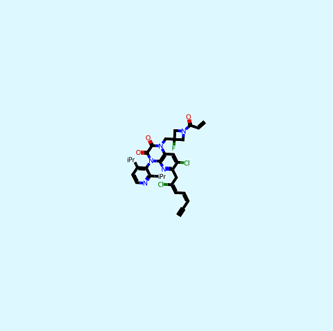 C#C/C=C\C=C(\Cl)Cc1nc2c(cc1Cl)n(CC1(F)CN(C(=O)C=C)C1)c(=O)c(=O)n2-c1c(C(C)C)ccnc1C(C)C